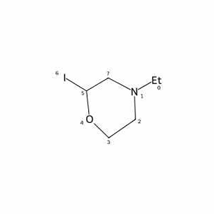 CCN1CCOC(I)C1